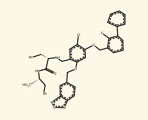 CC(C)C[C@H](NCc1cc(Cl)c(OCc2cccc(-c3ccccc3)c2F)cc1OCc1ccc2nonc2c1)C(=O)N[C@H](CC(C)C)C(=O)O